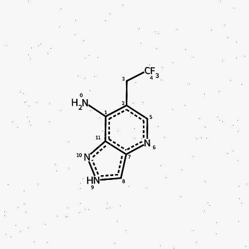 Nc1c(CC(F)(F)F)cnc2c[nH]nc12